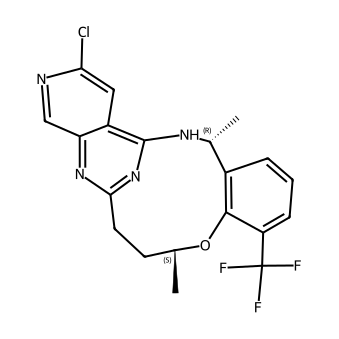 C[C@H]1CCc2nc(c3cc(Cl)ncc3n2)N[C@H](C)c2cccc(C(F)(F)F)c2O1